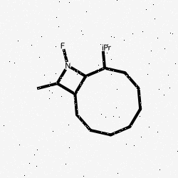 CC(C)C1CCCCCCCC2C(C)N(F)C12